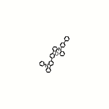 c1ccc(-c2ccc(N(c3ccccc3)c3cccc4c3oc3cc(-c5ccc6c7ccccc7n(-c7ccccc7)c6c5)ccc34)cc2)cc1